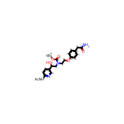 CC(=O)Nc1ccc(C(O)CN(CCOc2ccc(CC(N)=O)cc2)C(=O)OC(C)(C)C)cn1